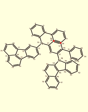 c1ccc(-c2ccccc2N(c2ccc3c(c2)-c2cccc4cccc-3c24)c2ccc(-c3ccccc3)c(-n3c4ccccc4c4c5ccccc5ccc43)c2)cc1